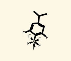 CC(C)c1cc(F)c(S(F)(F)(F)(F)F)c(F)c1